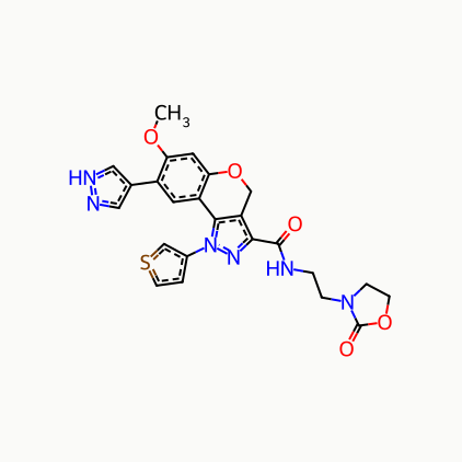 COc1cc2c(cc1-c1cn[nH]c1)-c1c(c(C(=O)NCCN3CCOC3=O)nn1-c1ccsc1)CO2